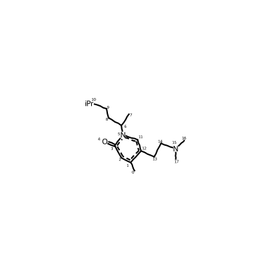 Cc1cc(=O)n(C(C)CCC(C)C)cc1CCN(C)C